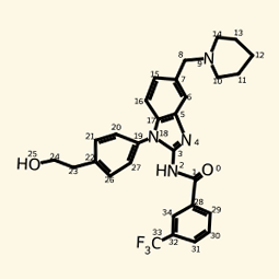 O=C(Nc1nc2cc(CN3CCCCC3)ccc2n1-c1ccc(CCO)cc1)c1cccc(C(F)(F)F)c1